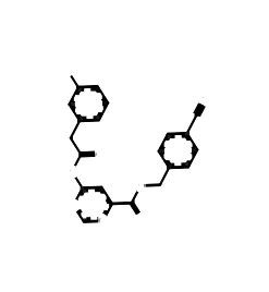 N#Cc1ccc(CNC(=O)c2cc(NC(=O)Cc3cccc(Br)c3)ncn2)cc1